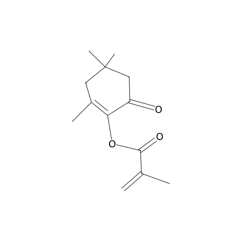 C=C(C)C(=O)OC1=C(C)CC(C)(C)CC1=O